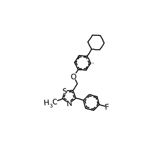 Cc1nc(-c2ccc(F)cc2)c(COc2c[c]c(C3CCCCC3)cc2)s1